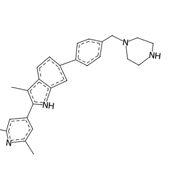 Cc1cc(-c2[nH]c3cc(-c4ccc(CN5CCNCC5)cc4)ccc3c2C)cc(C)n1